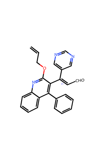 C=CCOc1nc2ccccc2c(-c2ccccc2)c1/C(=C/C=O)c1cncnc1